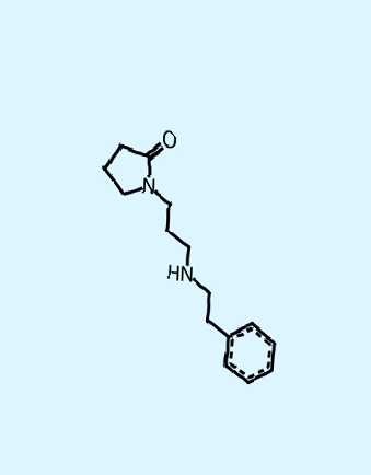 O=C1CCCN1CCCNCCc1ccccc1